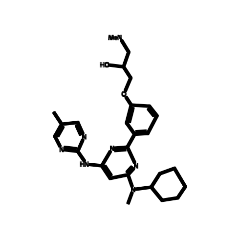 CNCC(O)COc1cccc(-c2nc(Nc3ncc(C)cn3)cc(N(C)C3CCCCC3)n2)c1